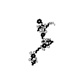 C=C1C[C@H]2C=Nc3cc(OCCCCCOc4cc5c(cc4OC)C(=O)N4CC(=C)C[C@H]4[C@H](O)N5C(=O)OCc4ccc(NC(=O)[C@H](CCCCN)NC(=O)[C@H](Cc5ccccc5)NC(=O)CCC)cc4)c(OC)cc3C(=O)N2C1